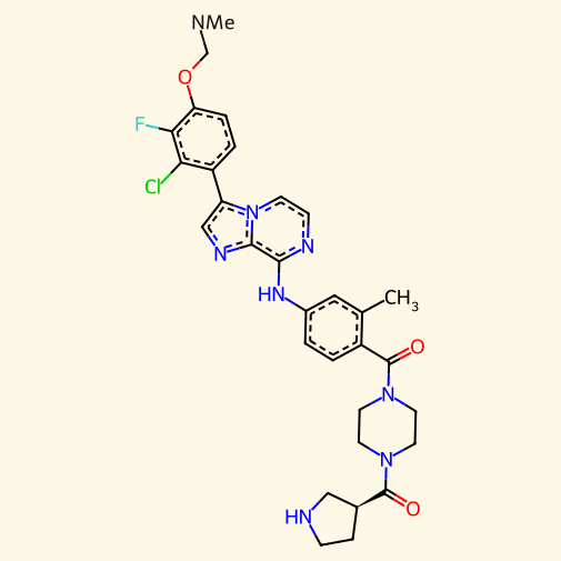 CNCOc1ccc(-c2cnc3c(Nc4ccc(C(=O)N5CCN(C(=O)[C@H]6CCNC6)CC5)c(C)c4)nccn23)c(Cl)c1F